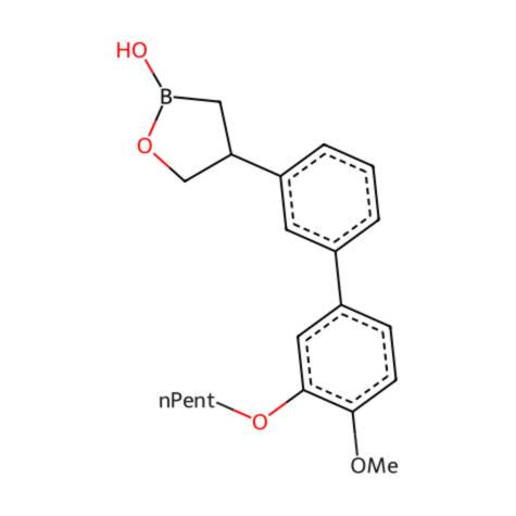 CCCCCOc1cc(-c2cccc(C3COB(O)C3)c2)ccc1OC